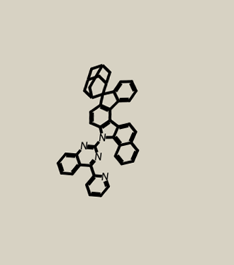 c1ccc(-c2nc(-n3c4ccc5c(c4c4ccc6ccccc6c43)-c3ccccc3C53C4CC5CC(C4)CC3C5)nc3ccccc23)nc1